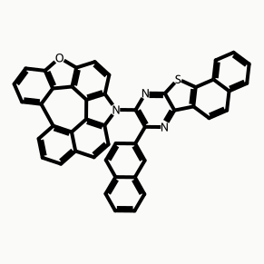 c1ccc2cc(-c3nc4c(nc3-n3c5ccc6cccc7c6c5c5c6c(ccc53)oc3cccc-7c36)sc3c5ccccc5ccc43)ccc2c1